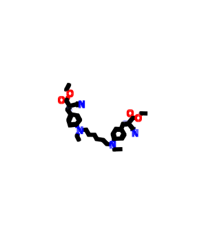 CCOC(=O)/C(C#N)=C/c1ccc(N(CC)CCCCCCN(CC)c2ccc(/C=C(\C#N)C(=O)OCC)cc2)cc1